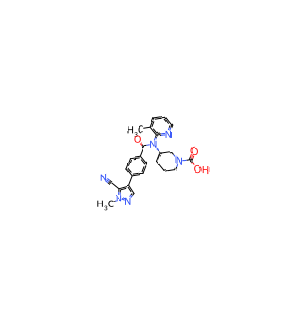 Cc1cccnc1N(C(=O)c1ccc(-c2cnn(C)c2C#N)cc1)[C@@H]1CCCN(C(=O)O)C1